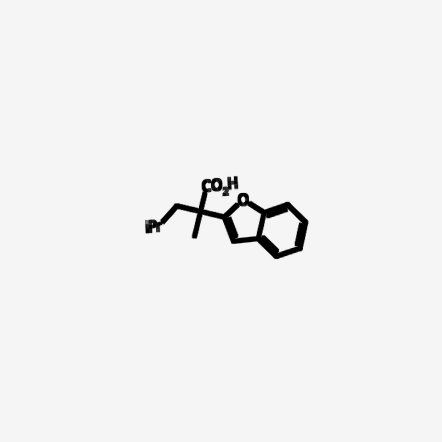 CC(C)CC(C)(C(=O)O)c1cc2ccccc2o1